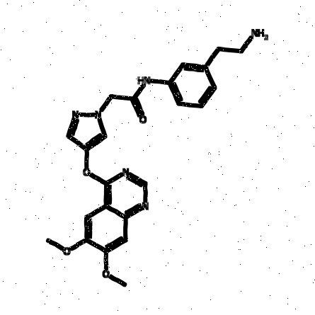 COc1cc2ncnc(Oc3cnn(CC(=O)Nc4cccc(CCN)c4)c3)c2cc1OC